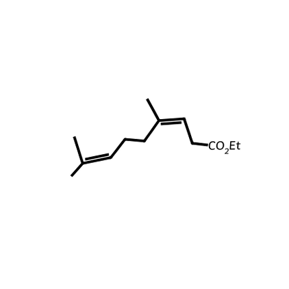 CCOC(=O)CC=C(C)CCC=C(C)C